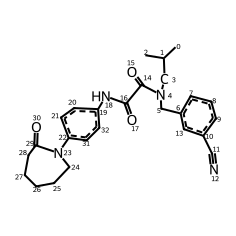 CC(C)CN(Cc1cccc(C#N)c1)C(=O)C(=O)Nc1ccc(N2CCCCCC2=O)cc1